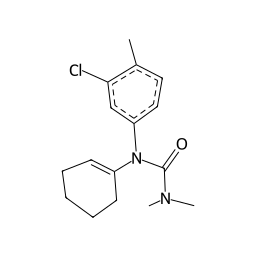 Cc1ccc(N(C(=O)N(C)C)C2=CCCCC2)cc1Cl